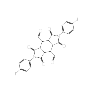 O=CC1C2C(=O)N(c3ccc(I)cc3)C(=O)C2C(C=O)C2C(=O)N(c3ccc(I)cc3)C(=O)C12